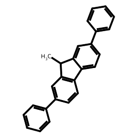 CC1c2cc(-c3ccccc3)ccc2-c2ccc(-c3ccccc3)cc21